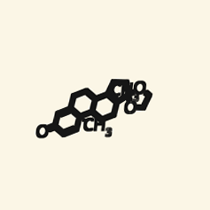 C[C@]12C=CC(=O)C=C1CCC1C2CC[C@@]2(C)C1CCC21OCCO1